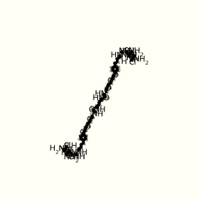 N=C(NCCCCc1ccc(OCCOCCOCCNC(=O)NCCCCNC(=O)NCCOCCOCCOc2ccc(CCCCNC(=N)NC(=O)c3nc(Cl)c(N)nc3N)cc2)cc1)NC(=O)c1nc(Cl)c(N)nc1N